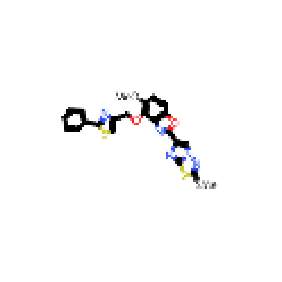 COc1ccc2oc(-c3cn4nc(SC)sc4n3)nc2c1OCc1csc(-c2ccccc2)n1